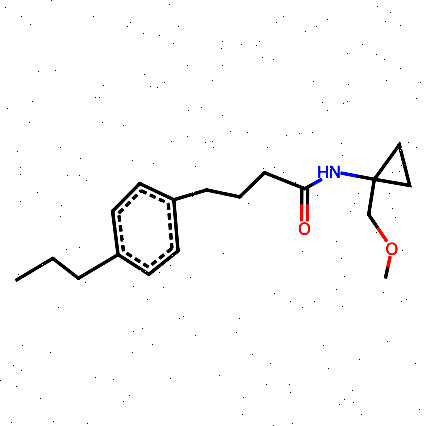 CCCc1ccc(CCCC(=O)NC2(COC)CC2)cc1